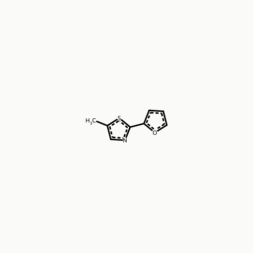 Cc1cnc(-c2ccco2)s1